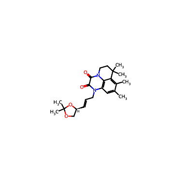 Cc1cc2c3c(c1C)C(C)(C)CCn3c(=O)c(=O)n2CC=C[C@H]1COC(C)(C)O1